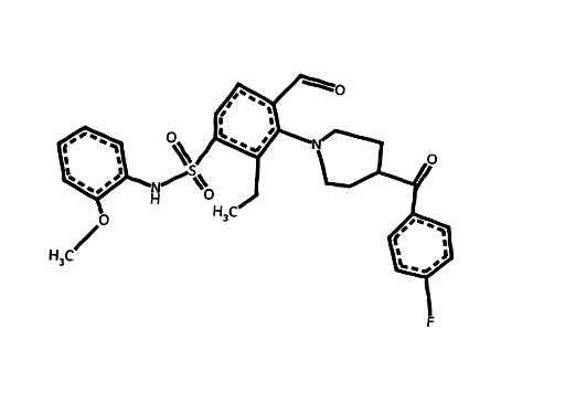 CCc1c(S(=O)(=O)Nc2ccccc2OC)ccc(C=O)c1N1CCC(C(=O)c2ccc(F)cc2)CC1